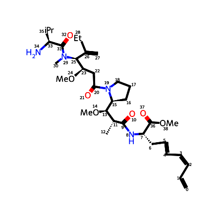 C=C/C=C\C=C\C[C@H](NC(=O)[C@H](C)[C@@H](OC)[C@@H]1CCCN1C(=O)C[C@@H](OC)[C@H](C(=C)CC)N(C)C(=O)[C@@H](N)C(C)C)C(=O)OC